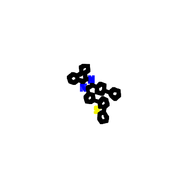 c1ccc(-c2ccc(-c3nc4c5ccccc5c5ccccc5c4nc3-c3cccc(-c4cccc5c4sc4ccccc45)c3)cc2)cc1